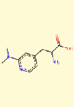 CN(C)c1cc(CC(N)C(=O)O)ccn1